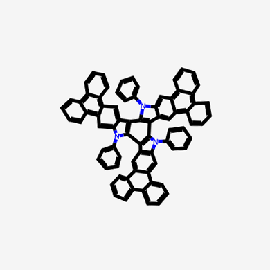 c1ccc(-n2c3cc4c5ccccc5c5ccccc5c4cc3c3c2c2c4cc5c6ccccc6c6ccccc6c5cc4n(-c4ccccc4)c2c2c4cc5c6ccccc6c6ccccc6c5cc4n(-c4ccccc4)c32)cc1